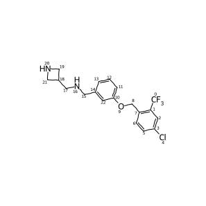 FC(F)(F)c1cc(Cl)ccc1COc1cccc(CNCC2CNC2)c1